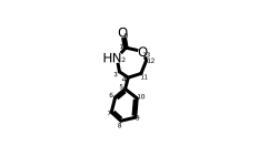 O=C1NCC(c2ccccc2)CCO1